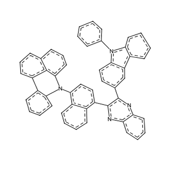 c1ccc(-n2c3ccccc3c3cc(-c4nc5ccccc5nc4-c4ccc(N5c6ccccc6-c6cccc7cccc5c67)c5ccccc45)ccc32)cc1